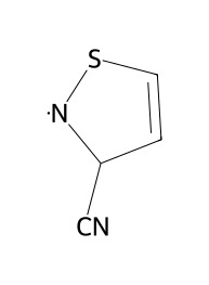 N#CC1C=CS[N]1